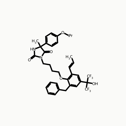 CC=Cc1cc(C(O)(C(F)(F)F)C(F)(F)F)cc(Cc2ccccc2)c1OCCCCN1C(=O)NC(C)(c2ccc(OC(C)C)cc2)C1=O